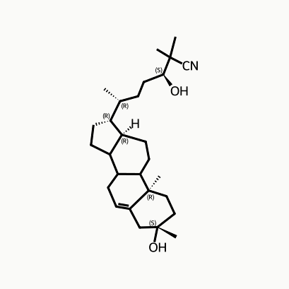 C[C@H](CC[C@H](O)C(C)(C)C#N)[C@H]1CCC2C3CC=C4C[C@@](C)(O)CC[C@]4(C)C3CC[C@@H]21